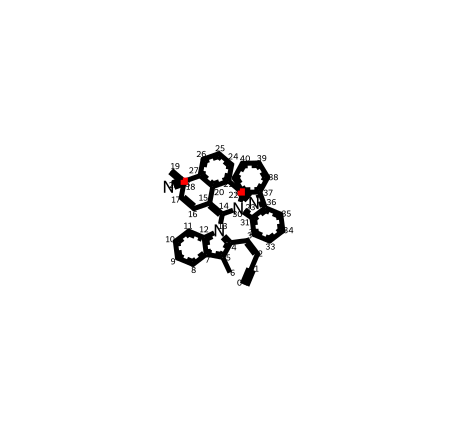 C#C/C=C\c1c(C)c2ccccc2n1/C(=C(\C=C/C=C)c1c(C#N)cccc1C#N)n1c2ccccc2c2ccccc21